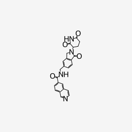 O=C1CCC(N2Cc3cc(CNC(=O)c4ccc5cnccc5c4)ccc3C2=O)C(=O)N1